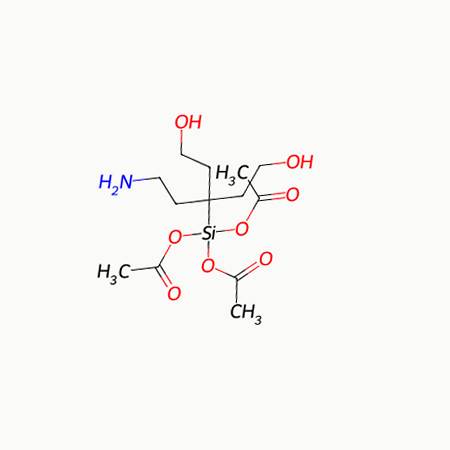 CC(=O)O[Si](OC(C)=O)(OC(C)=O)C(CCN)(CCO)CCO